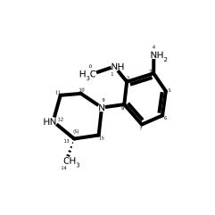 CNc1c(N)cccc1N1CCN[C@@H](C)C1